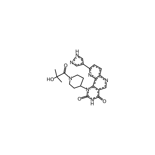 CC(C)(O)C(=O)N1CCC(n2c(=O)[nH]c(=O)c3cnc4ccc(-c5cn[nH]c5)nc4c32)CC1